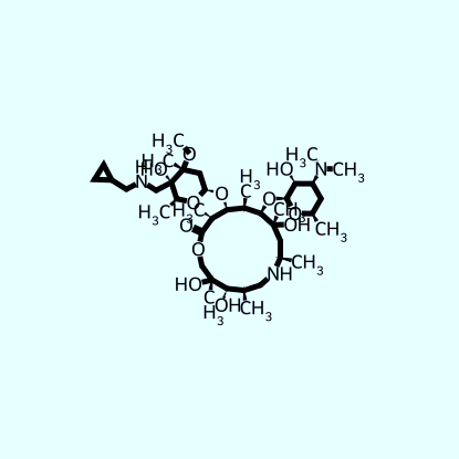 CO[C@]1(C)C[C@H](O[C@@H]2[C@@H](C)[C@@H](O[C@@H]3O[C@H](C)C[C@H](N(C)C)[C@H]3O)[C@](C)(O)C[C@@H](C)NC[C@@H](C)[C@H](O)[C@](C)(O)COC(=O)[C@@H]2C)O[C@@H](C)[C@@]1(O)CNCC1CC1